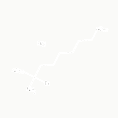 CCCCCCCCCCCCCCCCC(N)(CC)CCCCCCCCCC.Cl